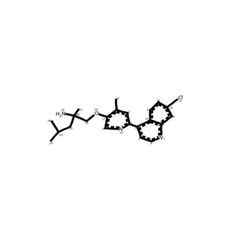 Cc1cc(-c2ccnc3cc(Cl)ccc23)ncc1OCC(C)(N)CC(C)C